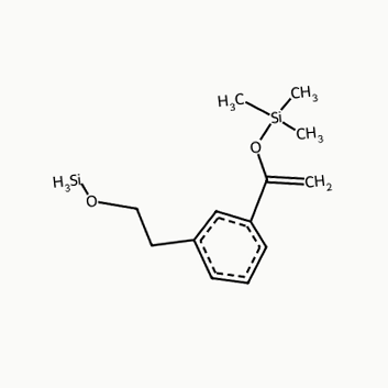 C=C(O[Si](C)(C)C)c1cccc(CCO[SiH3])c1